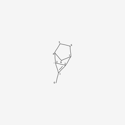 CC1=C2[C]1C1CCC2C1